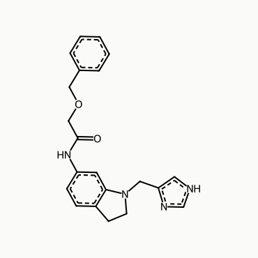 O=C(COCc1ccccc1)Nc1ccc2c(c1)N(Cc1c[nH]cn1)CC2